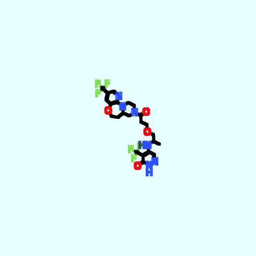 CC(COCCC(=O)N1CCN2c3ncc(C(F)(F)F)cc3OCCC2C1)Nc1cn[nH]c(=O)c1C(F)(F)F